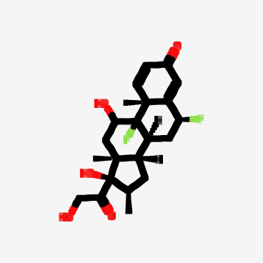 C[C@@H]1C[C@H]2[C@@H]3C[C@H](F)C4=CC(=O)C=C[C@]4(C)[C@@]3(F)C(O)C[C@]2(C)[C@@]1(O)C(=O)CO